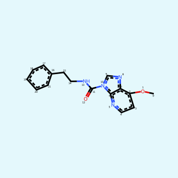 COc1ccnc2c1ncn2C(=O)NCCc1ccccc1